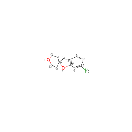 Fc1ccc2c(c1)OC1(CCOCC1)C2